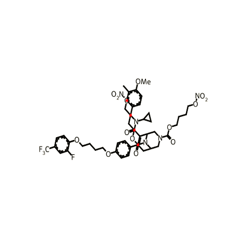 COc1ccc(CN(C(=O)C2=C(c3ccc(OCCCCOc4ccc(C(F)(F)F)cc4F)cc3)CC3CN(C(=O)OCCCCO[N+](=O)[O-])CC2N3C(=O)OCCCCO[N+](=O)[O-])C2CC2)cc1C